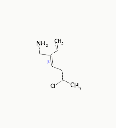 C=C/C(=C\CC(C)Cl)CN